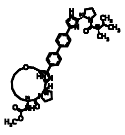 COC(=O)N[C@H]1CCCCCCOCc2[nH]c(nc2-c2ccc(-c3ccc(-c4c[nH]c([C@@H]5CCCN5C(=O)[C@@H](C)C(C)C)n4)cc3)cc2)[C@@H]2CCCN2C1=O